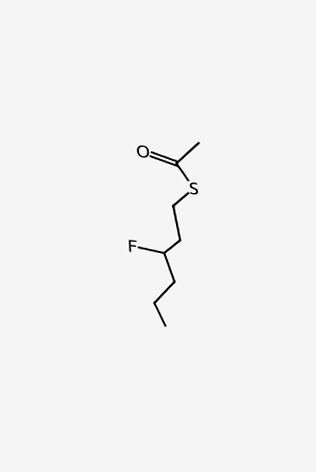 CCCC(F)CCSC(C)=O